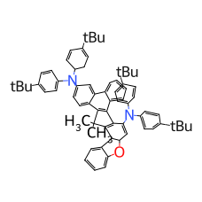 CC(C)(C)C1=CCC(N(c2ccc(C(C)(C)C)cc2)c2ccc3c4c(c5ccccc5c3c2)C2=C(C3c5ccccc5OC3C=C2N(c2ccc(C(C)(C)C)cc2)c2ccc(C(C)(C)C)cc2)C4(C)C)C=C1